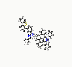 c1ccc(-c2cc(-c3ccc(-c4c(-c5ccccc5)c(-c5ccccc5)nc(-c5ccccc5)c4-c4ccccc4)cc3)nc(-c3cccc(-c4cccc5c4sc4ccccc45)c3)n2)cc1